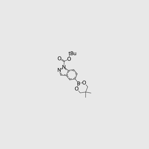 CC1(C)COB(c2ccc3c(cnn3C(=O)OC(C)(C)C)c2)OC1